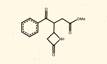 COC(=O)CC(C(=O)c1ccccc1)C1CC(=O)N1